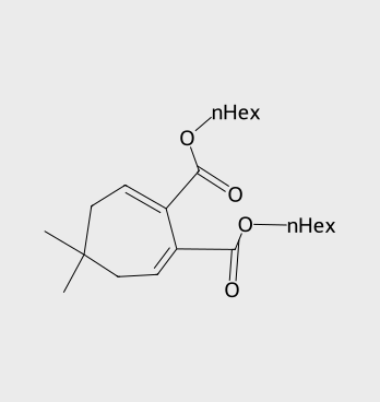 CCCCCCOC(=O)C1=CCC(C)(C)CC=C1C(=O)OCCCCCC